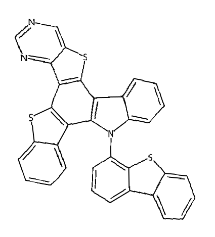 c1ccc2c(c1)sc1c(-n3c4ccccc4c4c5sc6cncnc6c5c5sc6ccccc6c5c43)cccc12